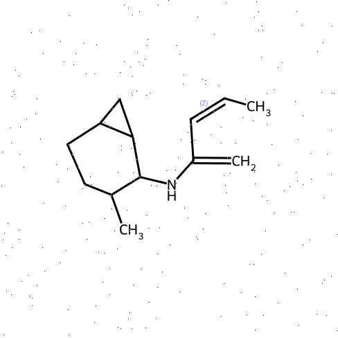 C=C(/C=C\C)NC1C(C)CCC2CC21